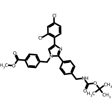 COC(=O)c1ccc(Cn2cc(-c3ccc(Cl)cc3Cl)nc2-c2ccc(CNC(=O)OC(C)(C)C)cc2)cc1